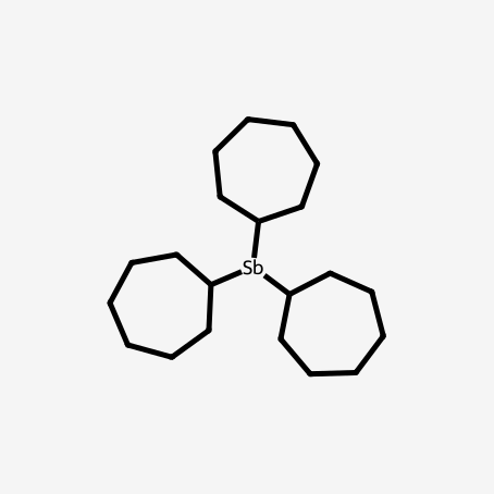 C1CCC[CH]([Sb]([CH]2CCCCCC2)[CH]2CCCCCC2)CC1